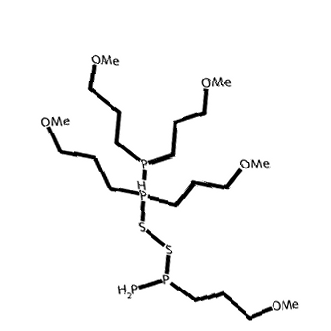 COCCCP(P)SS[PH](CCCOC)(CCCOC)P(CCCOC)CCCOC